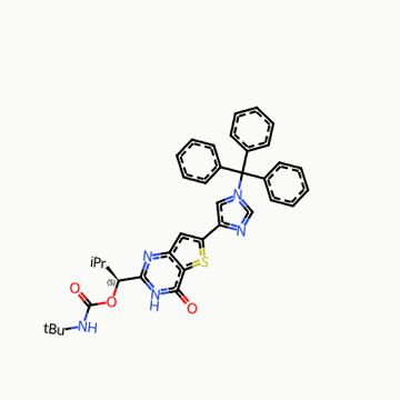 CC(C)[C@H](OC(=O)NC(C)(C)C)c1nc2cc(-c3cn(C(c4ccccc4)(c4ccccc4)c4ccccc4)cn3)sc2c(=O)[nH]1